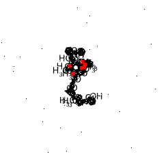 C=C1/C(=C\C=C2/CCC[C@@]3(C)C2CCC3[C@@H](C)/C=C/CC2(OC(=O)CCCC(=O)OC3CC4OCC4(OC(C)=O)C4C(OC(=O)c5ccccc5)C(O)(C(C)(C)C)CC(OC(=O)C(O)C(NC(=O)c5ccccc5)c5ccccc5)C(C)C(OC(C)=O)C(=O)C34C)CC2)CCC[C@@H]1O